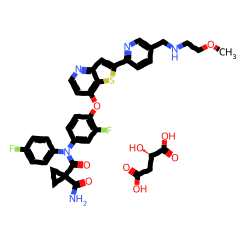 COCCNCc1ccc(-c2cc3nccc(Oc4ccc(N(C(=O)C5(C(N)=O)CC5)c5ccc(F)cc5)cc4F)c3s2)nc1.O=C(O)C[C@H](O)C(=O)O